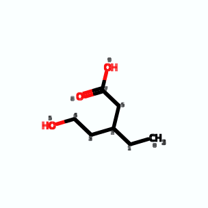 CCC(CCO)CC(=O)O